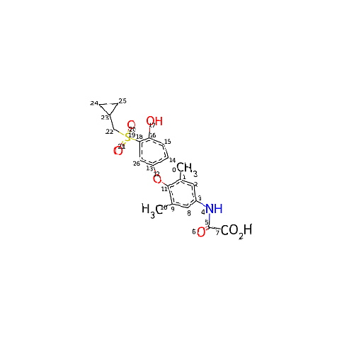 Cc1cc(NC(=O)C(=O)O)cc(C)c1Oc1ccc(O)c(S(=O)(=O)CC2CC2)c1